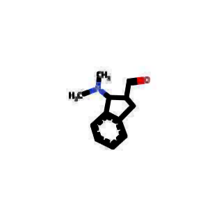 CN(C)C1c2ccccc2CC1C=O